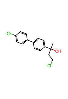 CC(O)(CCCl)c1ccc(-c2ccc(Cl)cc2)cc1